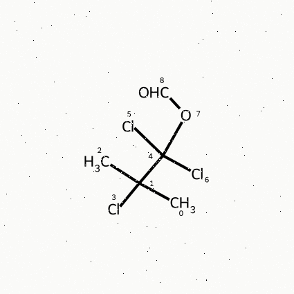 CC(C)(Cl)C(Cl)(Cl)OC=O